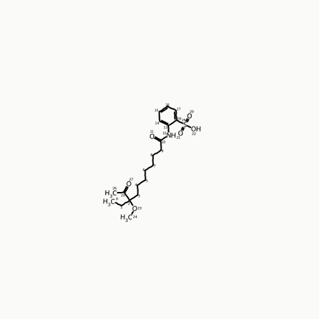 CCC(CCCCCCCC(=O)Nc1ccccc1S(=O)(=O)O)(OC)C(C)=O